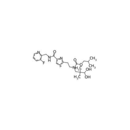 CC(C)COC(=O)N(CCc1nc(C(=O)NCc2ncccc2F)cs1)CC(C)(C)C(O)O